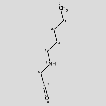 CCCCCNCB=O